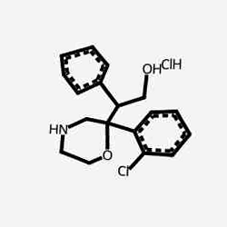 Cl.OCC(c1ccccc1)C1(c2ccccc2Cl)CNCCO1